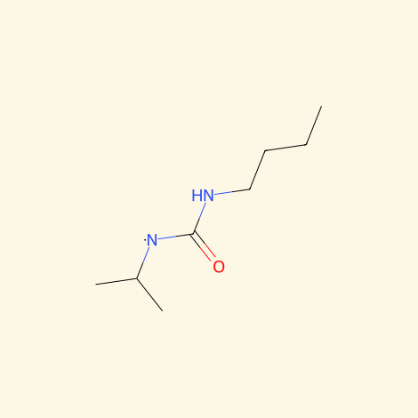 CCCCNC(=O)[N]C(C)C